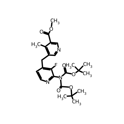 COC(=O)c1cncc(Cc2ccnc(N(C(=O)OC(C)(C)C)C(=O)OC(C)(C)C)c2F)c1C